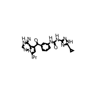 CC(C)c1cc(C(=O)c2cccc(NC(=O)Nc3n[nH]c(C4CC4)n3)c2)c2c(N)ncnn12